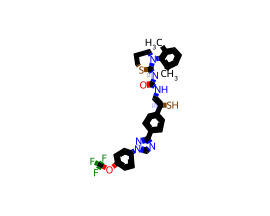 Cc1cccc(C)c1N1CCCS/C1=N\C(=O)N/C=C(\S)c1ccc(-c2ncn(-c3ccc(OC(F)(F)F)cc3)n2)cc1